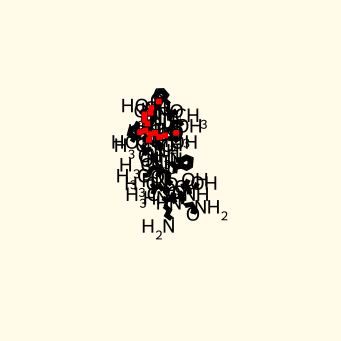 CC[C@@H](C)[C@H](NC(=O)[C@H](CC(C)C)NC(=O)[C@@H](NC(=O)[C@@H](Cc1ccc(O)cc1)NC(=O)[C@H](CC(=O)O)NC(=O)[C@@H](NC(=O)[C@H](Cc1ccccc1)NC(=O)[C@H](CO)NC(=O)[C@@H](Cc1ccc(O)cc1)NC(=O)CN)[C@H](C)O)C(C)C)C(=O)N[C@H](Cc1c[nH]c2ccccc12)C(=O)N[C@@H](C(=O)N[C@H](CCCCN)C(=O)N[C@H](CCC(N)=O)C(=O)N[C@H](CO)C(=O)O)C(C)C